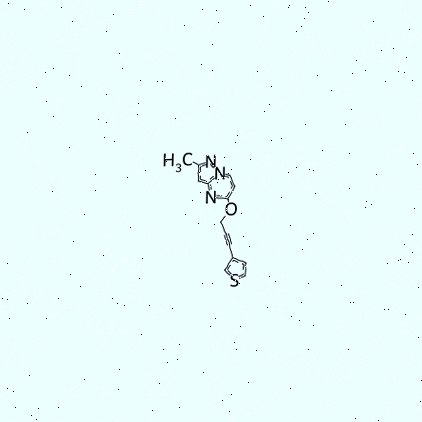 Cc1cc2nc(OCC#Cc3ccsc3)ccn2n1